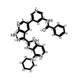 O=C(Nc1cncc(-c2cnc3[nH]nc(-c4nc5c(N6CCCCC6)nccc5[nH]4)c3c2)c1)c1ccccc1